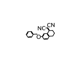 N#CC(C#N)=C1CCCc2ccc(OCc3ccccc3)cc21